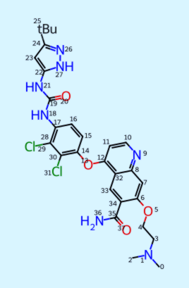 CN(C)CCOc1cc2nccc(Oc3ccc(NC(=O)Nc4cc(C(C)(C)C)n[nH]4)c(Cl)c3Cl)c2cc1C(N)=O